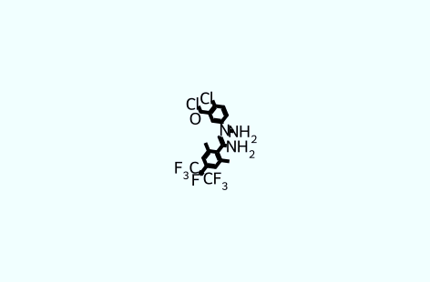 Cc1cc(C(F)(C(F)(F)F)C(F)(F)F)cc(C)c1/C(N)=C/N(N)c1ccc(Cl)c(C(=O)Cl)c1